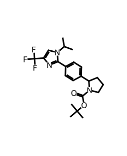 CC(C)n1cc(C(F)(F)F)nc1-c1ccc(C2CCCN2C(=O)OC(C)(C)C)cc1